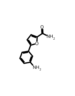 NC(=O)c1ccc(-c2cccc(N)c2)o1